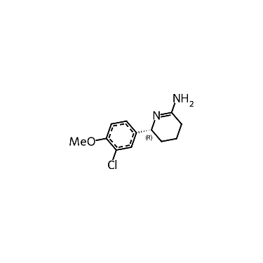 COc1ccc([C@H]2CCCC(N)=N2)cc1Cl